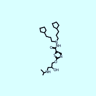 CC(C)NCC(O)COc1ncc(C(=O)NN(CCCC2CCCC2)CCCC2CCCC2)s1